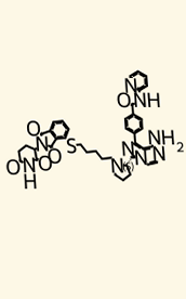 Nc1nccn2c([C@@H]3CCCN3CCCCCSc3cccc4c3C(=O)N(C3CCC(=O)NC3=O)C4=O)nc(-c3ccc(C(=O)Nc4ccccn4)cc3)c12